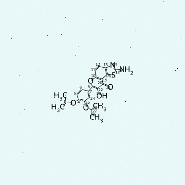 CC(C)Oc1ccc(-c2oc3ccc4nc(N)sc4c3c(=O)c2O)cc1OC(C)C